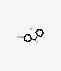 O=C(c1ccccc1)c1ccc(S)cc1.[KH]